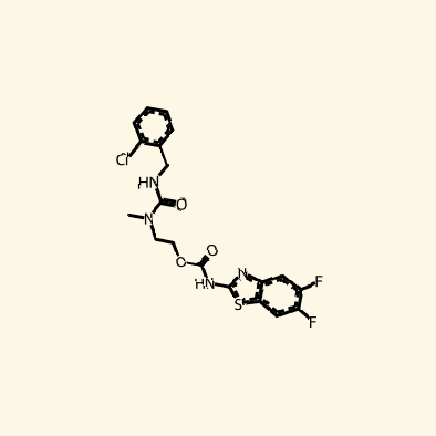 CN(CCOC(=O)Nc1nc2cc(F)c(F)cc2s1)C(=O)NCc1ccccc1Cl